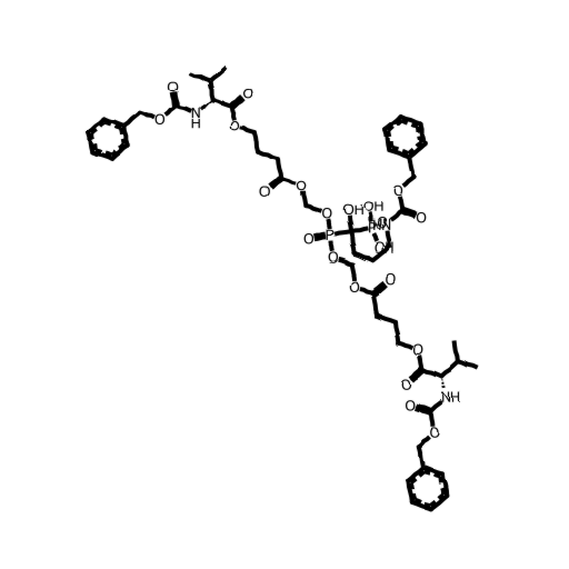 CC(C)[C@H](NC(=O)OCc1ccccc1)C(=O)OCCCC(=O)OCOP(=O)(OCOC(=O)CCCOC(=O)[C@@H](NC(=O)OCc1ccccc1)C(C)C)C(O)(CCCNC(=O)OCc1ccccc1)P(=O)(O)O